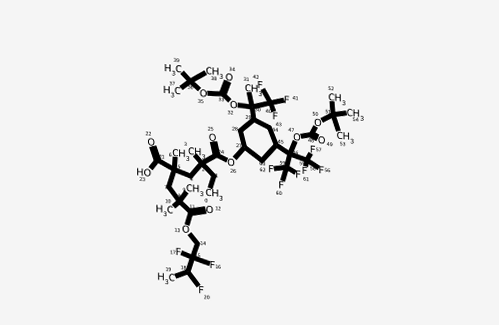 CCC(C)(CC(C)(CC(C)(C)C(=O)OCC(F)(F)C(C)F)C(=O)O)C(=O)OC1CC(C(C)(OC(=O)OC(C)(C)C)C(F)(F)F)CC(C(OC(=O)OC(C)(C)C)(C(F)(F)F)C(F)(F)F)C1